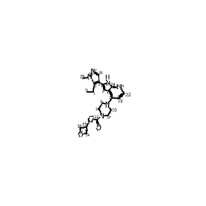 CCc1c(-c2cc3c(N4CCN(C(=O)OC5COC5)CC4)ccnc3[nH]2)cnn1C